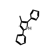 Cc1[c]c(-c2ccccc2)[pH]c1-c1ccccc1